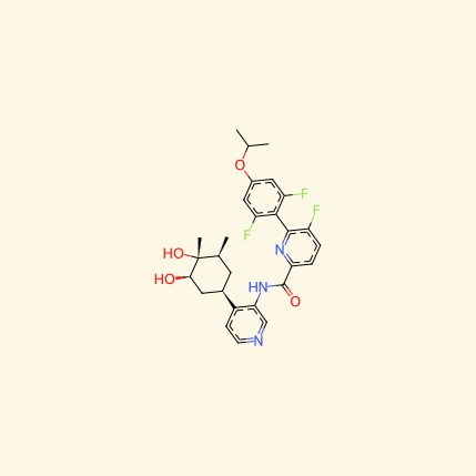 CC(C)Oc1cc(F)c(-c2nc(C(=O)Nc3cnccc3[C@H]3C[C@@H](O)[C@](C)(O)[C@@H](C)C3)ccc2F)c(F)c1